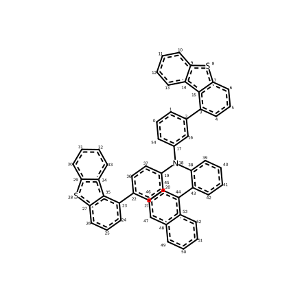 c1cc(-c2cccc3sc4ccccc4c23)cc(N(c2ccc(-c3cccc4sc5ccccc5c34)cc2)c2ccccc2-c2cccc3ccccc23)c1